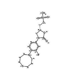 CS(=O)(=O)OC[C@H]1CN(c2ccc(N3CCCSCCC3)c(F)c2)C(=O)O1